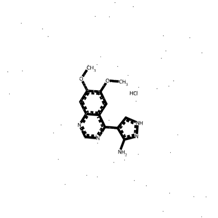 COc1cc2ncnc(-c3c[nH]nc3N)c2cc1OC.Cl